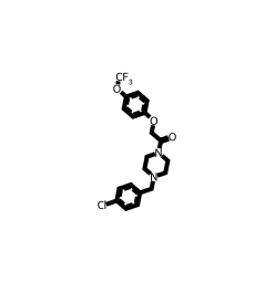 O=C(COc1ccc(OC(F)(F)F)cc1)N1CCN(Cc2ccc(Cl)cc2)CC1